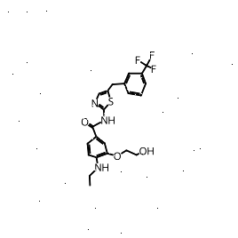 CCNc1ccc(C(=O)Nc2ncc(Cc3cccc(C(F)(F)F)c3)s2)cc1OCCO